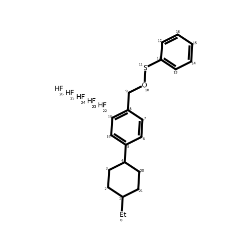 CCC1CCC(c2ccc(COSc3ccccc3)cc2)CC1.F.F.F.F.F